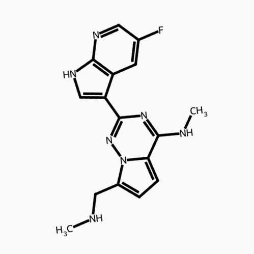 CNCc1ccc2c(NC)nc(-c3c[nH]c4ncc(F)cc34)nn12